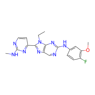 CCn1c(-c2ccnc(NC)n2)nc2cnc(Nc3ccc(F)c(OC)c3)nc21